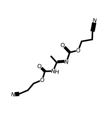 C/C(=N\C(=O)OCCC#N)NC(=O)OCCC#N